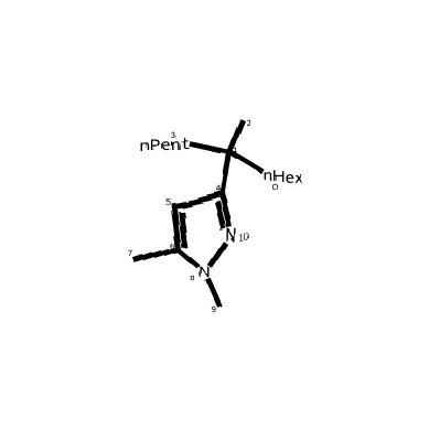 CCCCCCC(C)(CCCCC)c1cc(C)n(C)n1